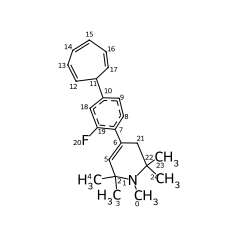 CN1C(C)(C)C=C(c2ccc(C3C=CC=CC=C3)cc2F)CC1(C)C